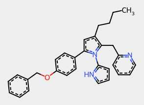 CCCCc1cc(-c2ccc(OCc3ccccc3)cc2)n(-c2ccc[nH]2)c1Cc1ccccn1